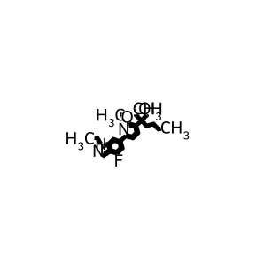 CCCCC(CC)(CO)c1ccc(-c2cc(F)c3cnn(CC)c3c2)nc1OC